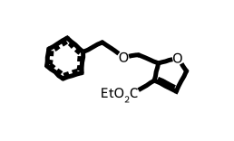 CCOC(=O)C1=CCOC1COCc1ccccc1